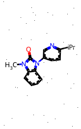 CC(C)c1ccc(-n2c(=O)n(C)c3ccccc32)cn1